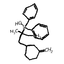 C=C1CCCC(CC(C)(C)[Si](O)(c2ccccc2)c2ccccc2)C1